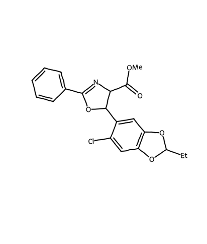 CCC1Oc2cc(Cl)c(C3OC(c4ccccc4)=NC3C(=O)OC)cc2O1